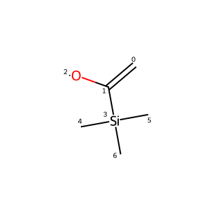 C=C([O])[Si](C)(C)C